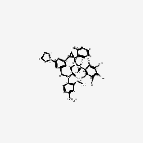 CCOc1cc(C(=O)O)ccc1N(Cc1cc(C2CC2)cc(N2CCCC2)c1)C(=O)CN(Cc1ccccc1Cl)S(=O)(=O)c1c(F)c(F)c(F)c(F)c1Cl